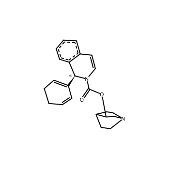 O=C(OC1CN2CCC1CC2)N1C=Cc2ccccc2[C@@H]1C1=CCCC=C1